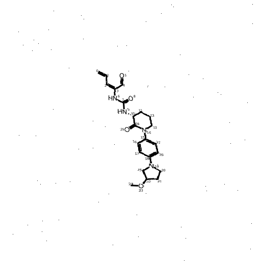 C=C/C=C(\C=O)NC(=O)N[C@@H]1CCCN(c2ccc(N3CCC(OC)C3)cc2)C1=O